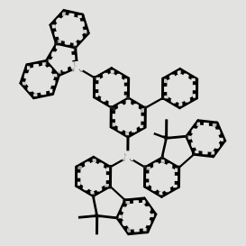 CC1(C)c2ccccc2-c2c(N(c3cc(-c4ccccc4)c4ccc(-n5c6ccccc6c6ccccc65)cc4c3)c3cccc4c3C(C)(C)c3ccccc3-4)cccc21